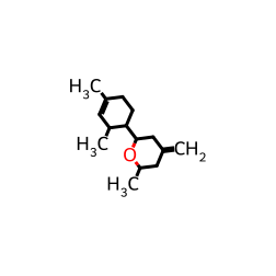 C=C1CC(C)OC(C2CCC(C)=CC2C)C1